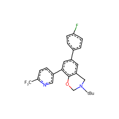 CC(C)(C)N1COc2c(cc(-c3ccc(F)cc3)cc2-c2ccc(C(F)(F)F)nc2)C1